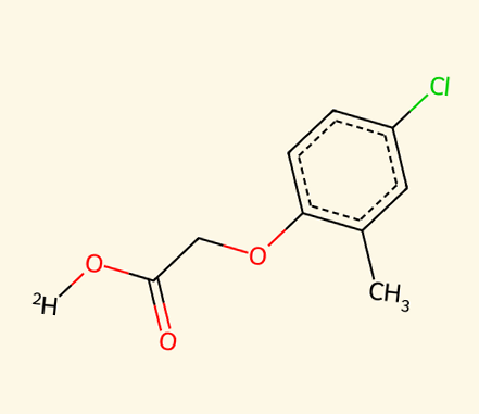 [2H]OC(=O)COc1ccc(Cl)cc1C